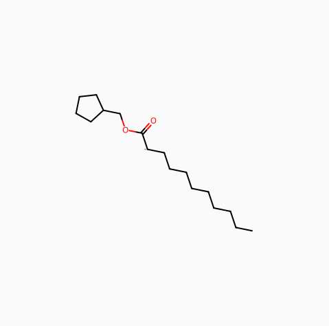 CCCCCCCCC[CH]C(=O)OCC1CCCC1